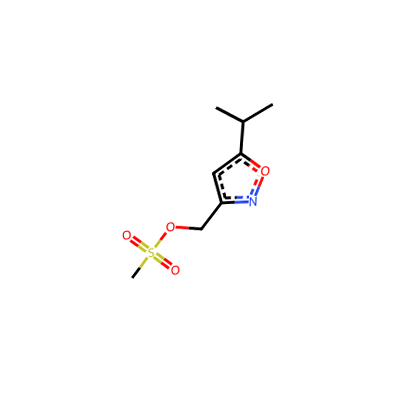 CC(C)c1cc(COS(C)(=O)=O)no1